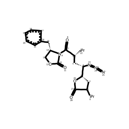 CC(C)C1C[C@@H]([C@H](C[C@H](C(=O)N2C(=O)OC[C@@H]2Cc2ccccc2)C(C)C)N=[N+]=[N-])OC1=O